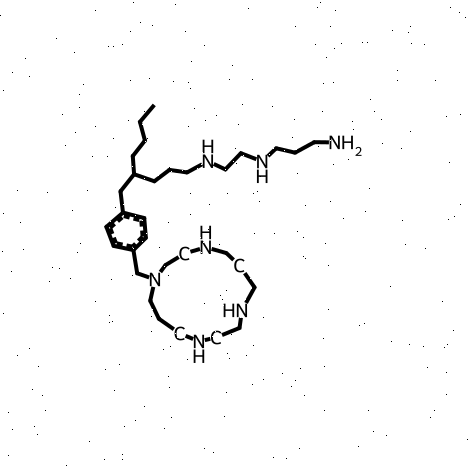 CCCCC(CCCNCCNCCCN)Cc1ccc(CN2CCCNCCNCCCNCC2)cc1